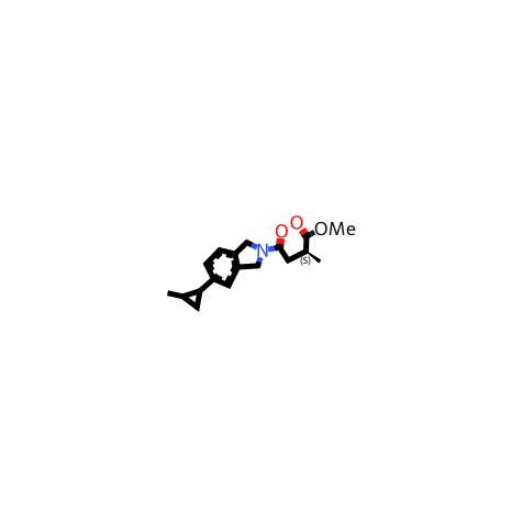 COC(=O)[C@@H](C)CC(=O)N1Cc2ccc(C3CC3C)cc2C1